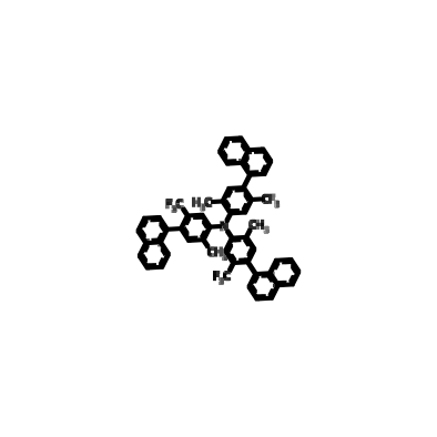 Cc1cc(-c2cccc3ccccc23)c(C(F)(F)F)cc1N(c1cc(C(F)(F)F)c(-c2cccc3ccccc23)cc1C)c1cc(C(F)(F)F)c(-c2cccc3ccccc23)cc1C